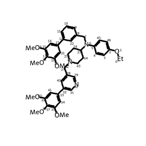 CCOc1ccc(N(Cc2cccc(-c3cc(OC)c(OC)c(OC)c3)c2)C2CCN(Cc3cncc(-c4cc(OC)c(OC)c(OC)c4)c3)CC2)cc1